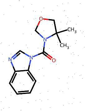 CC1(C)COCN1C(=O)n1cnc2ccccc21